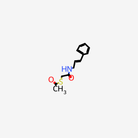 CC(=O)SCC(=O)NCC=Cc1ccccc1